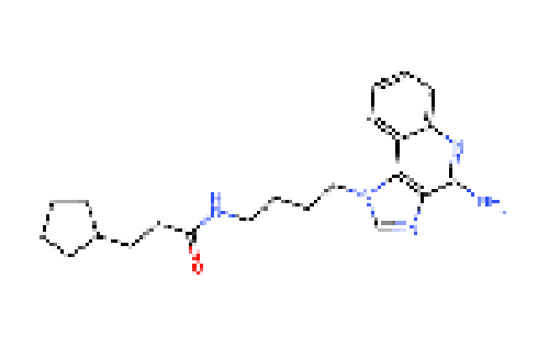 Nc1nc2ccccc2c2c1ncn2CCCCNC(=O)CCC1CCCC1